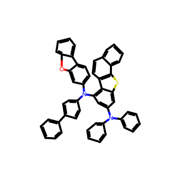 c1ccc(-c2ccc(N(c3ccc4c(c3)oc3ccccc34)c3cc(N(c4ccccc4)c4ccccc4)cc4sc5c6ccccc6ccc5c34)cc2)cc1